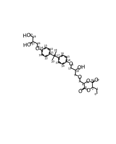 CCC1OC(=O)C(COCC(O)COc2ccc(C(C)(C)c3ccc(OCC(O)CO)cc3)cc2)OC1=O